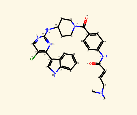 CN(C)CC=CC(=O)Nc1ccc(C(=O)N2CCC(Nc3ncc(Cl)c(-c4c[nH]c5ccccc45)n3)CC2)cc1